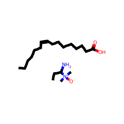 CCC(N)[N+](C)(C)[O-].CCCCCC/C=C\CCCCCCCC(=O)O